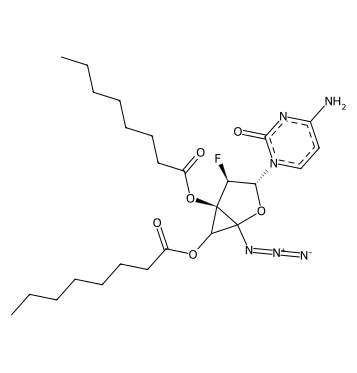 CCCCCCCC(=O)OC1C2(N=[N+]=[N-])O[C@@H](n3ccc(N)nc3=O)[C@H](F)[C@@]12OC(=O)CCCCCCC